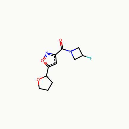 O=C(c1cc(C2CCCO2)on1)N1CC(F)C1